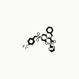 O=C(Nc1nccs1)[C@H](CC1CCCCC1)N1CCN(S(=O)(=O)Cc2ccc(C(F)(F)F)cc2)CC1=O